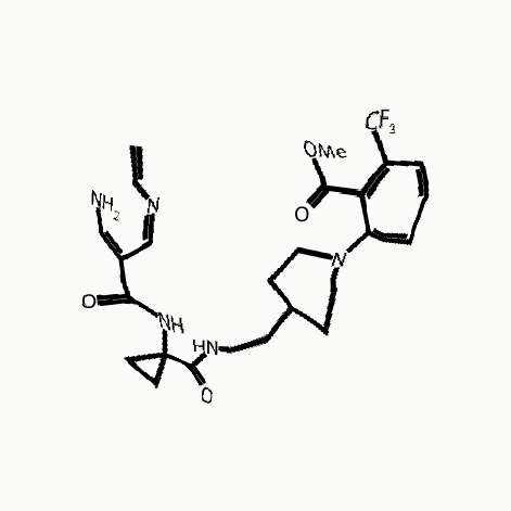 C=C/N=C\C(=C/N)C(=O)NC1(C(=O)NCC2CCN(c3cccc(C(F)(F)F)c3C(=O)OC)CC2)CC1